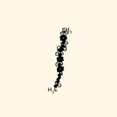 C=CC(=O)OCCCCOc1ccc(C(=O)Oc2ccc(C(=O)O[C@H]3COC4C3OC[C@H]4OC(=O)c3ccc(OC(C)=O)cc3)cc2)cc1